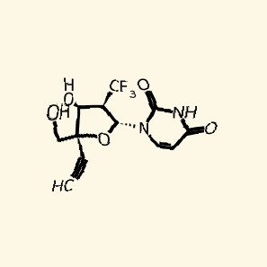 C#C[C@]1(CO)O[C@@H](n2ccc(=O)[nH]c2=O)[C@H](C(F)(F)F)[C@@H]1O